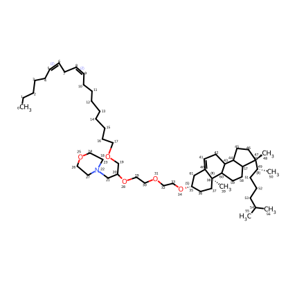 CCCCC/C=C\C/C=C\CCCCCCCCOCC(CN1CCOCC1)OCCOCCO[C@H]1CC[C@@]2(C)C(=CCC3C4CC[C@](C)([C@H](C)CCCC(C)C)C4CCC32)C1